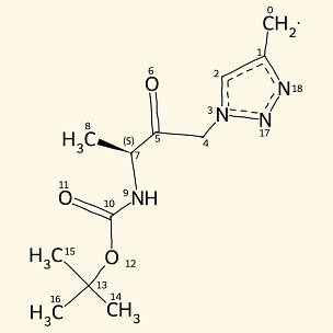 [CH2]c1cn(CC(=O)[C@H](C)NC(=O)OC(C)(C)C)nn1